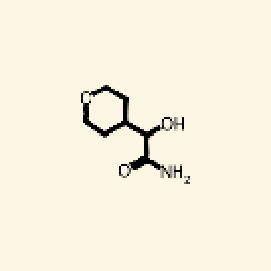 NC(=O)C(O)C1CCOCC1